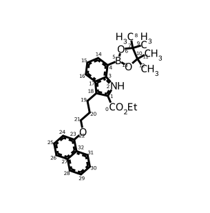 CCOC(=O)c1[nH]c2c(B3OC(C)(C)C(C)(C)O3)cccc2c1CCCOc1cccc2ccccc12